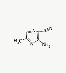 Cc1cnc(C#N)c(N)n1